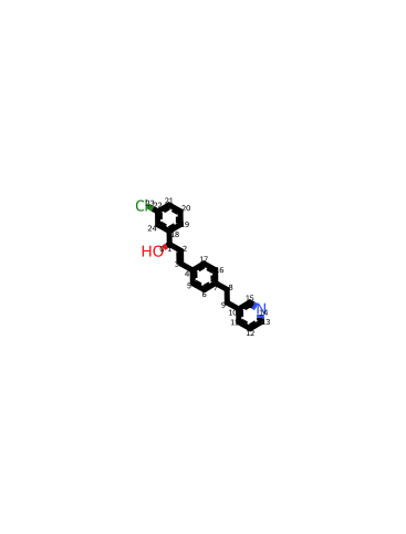 OC(C=Cc1ccc(CCc2cccnc2)cc1)c1cccc(Cl)c1